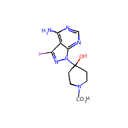 Nc1ncnc2c1c(I)nn2C1(O)CCN(C(=O)O)CC1